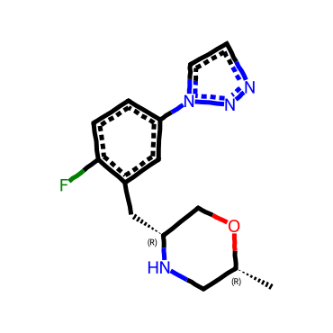 C[C@@H]1CN[C@H](Cc2cc(-n3ccnn3)ccc2F)CO1